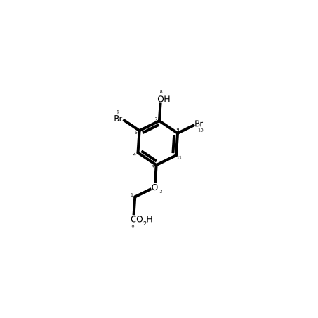 O=C(O)COc1cc(Br)c(O)c(Br)c1